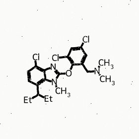 CCC(CC)c1ccc(Cl)c2nc(Oc3c(Cl)cc(Cl)cc3CN(C)C)n(C)c12